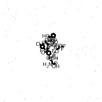 C#CC(C)Oc1cc(N2C(=O)C3=C(CCCC3)C2=O)c(F)cc1Cl.CP(=O)(O)CCC(N)C(=O)O.O=C(Nc1nc(OC(F)F)cc(OC(F)F)n1)NS(=O)(=O)c1ccccc1C(=O)O